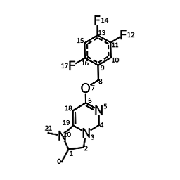 CC1CN2CN=C(OCc3cc(F)c(F)cc3F)C=C2N1C